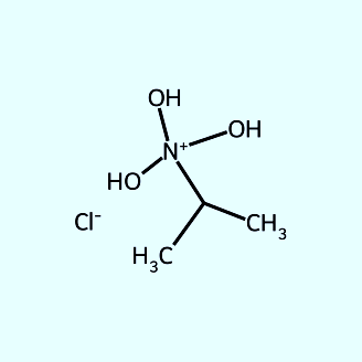 CC(C)[N+](O)(O)O.[Cl-]